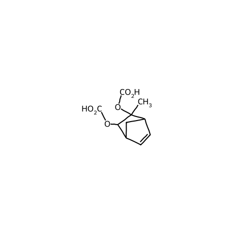 CC1(OC(=O)O)C2C=CC(C2)C1OC(=O)O